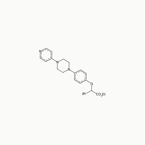 CCOC(=O)C(Oc1ccc(N2CCN(c3ccncc3)CC2)cc1)C(C)C